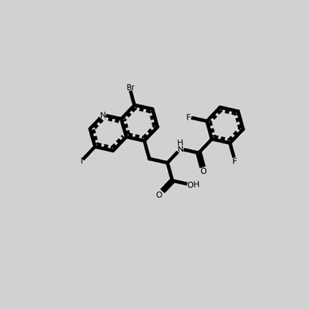 O=C(NC(Cc1ccc(Br)c2ncc(I)cc12)C(=O)O)c1c(F)cccc1F